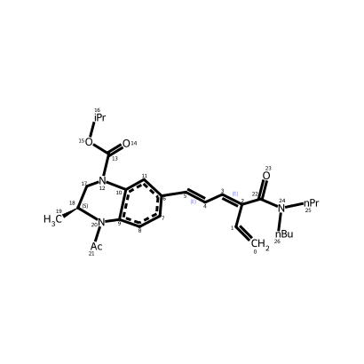 C=C/C(=C\C=C\c1ccc2c(c1)N(C(=O)OC(C)C)C[C@H](C)N2C(C)=O)C(=O)N(CCC)CCCC